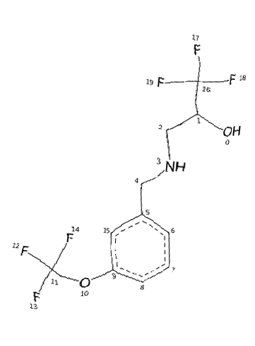 OC(CNCc1cccc(OC(F)(F)F)c1)C(F)(F)F